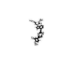 [C-]#[N+]c1cc(-c2nc(-c3cccc4c3CC[C@H]4N(CCO)C(=O)OC(C)(C)C)no2)ccc1OC(C)C